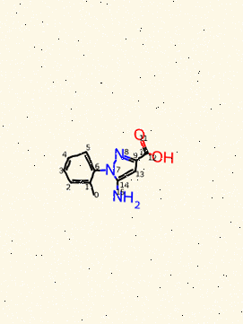 Cc1ccccc1-n1nc(C(=O)O)cc1N